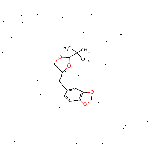 CC(C)(C)C1OCC(Cc2ccc3c(c2)OCO3)O1